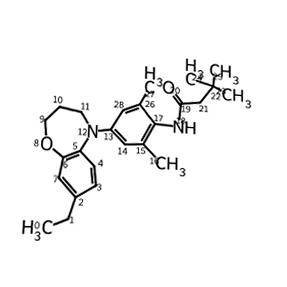 CCc1ccc2c(c1)OCCCN2c1cc(C)c(NC(=O)CC(C)(C)C)c(C)c1